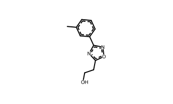 Cc1cccc(-c2noc(CCO)n2)c1